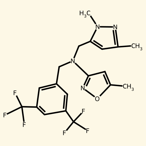 Cc1cc(CN(Cc2cc(C(F)(F)F)cc(C(F)(F)F)c2)c2cc(C)on2)n(C)n1